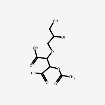 CC(=O)OC(C(=O)O)C(OCC(O)CO)C(=O)O